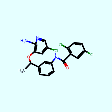 CC(Oc1cc(Cl)cnc1N)c1cccc(NC(=O)c2cc(Cl)ccc2Cl)c1